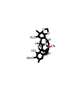 COc1c(C)cc2c(c1O)C1[C@@H]3[C@@H]4SCC(NC(C)=O)C(=O)OC[C@@H](c5c6c(c(C)c(OC(C)=O)c54)OCO6)N3[C@@H](C#N)C(C2)N1C(C)=O